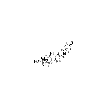 CCc1cc(CN2CC3(CC[S+]([O-])C3)C2)ccc1-c1ccc(C(O)(C(F)(F)F)C(F)(F)F)cc1